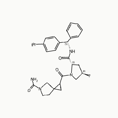 CC(C)c1ccc([C@@H](NC(=O)[C@@H]2C[C@@H](F)CN2C(=O)C2CC23CCN(C(N)=O)C3)c2ccccc2)cc1